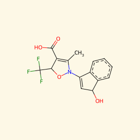 CC1=C(C(=O)O)C(C(F)(F)F)ON1C1=CC(O)c2ccccc21